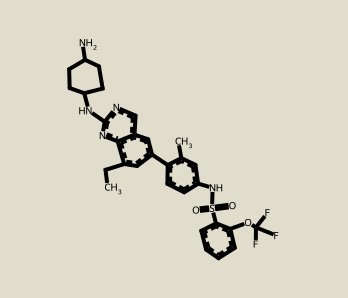 CCc1cc(-c2ccc(NS(=O)(=O)c3ccccc3OC(F)(F)F)cc2C)cc2cnc(NC3CCC(N)CC3)nc12